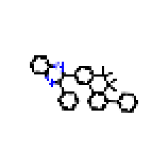 CC1(C)c2ccc(-c3nc4ccccc4nc3-c3ccccc3)cc2-c2cccc(-c3ccccc3)c2C1(C)C